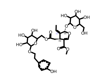 C/C=C1\[C@H](OC2OC(CO)C(O)C(O)C2O)OC=C(C(=O)OC)[C@H]1CC(=O)OCC1OC(OCCc2ccc(O)cc2)C(O)C(O)C1O